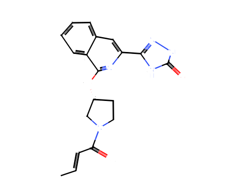 C/C=C/C(=O)N1CC[C@@H](Oc2nc(-c3n[nH]c(=O)[nH]3)cc3ccccc23)C1